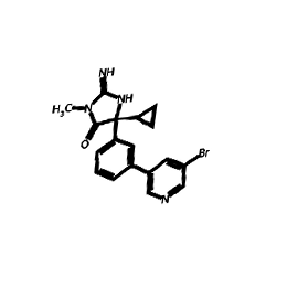 CN1C(=N)N[C@@](c2cccc(-c3cncc(Br)c3)c2)(C2CC2)C1=O